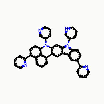 c1ccc(-c2ccc3c(c2)c2cc4c(cc2n3-c2cccnc2)N(c2cccnc2)c2ccc(-c3ccccn3)c3cccc-4c23)nc1